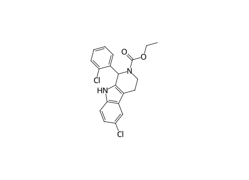 CCOC(=O)N1CCc2c([nH]c3ccc(Cl)cc23)C1c1ccccc1Cl